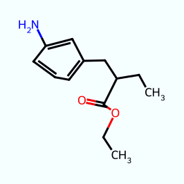 CCOC(=O)C(CC)Cc1cccc(N)c1